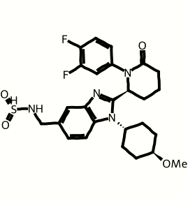 CO[C@H]1CC[C@H](n2c([C@@H]3CCCC(=O)N3c3ccc(F)c(F)c3)nc3cc(CN[SH](=O)=O)ccc32)CC1